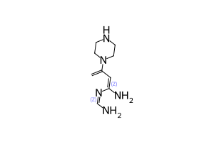 C=C(/C=C(N)\N=C/N)N1CCNCC1